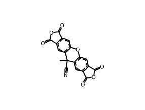 CC1(C#N)c2cc3c(cc2Oc2cc4c(cc21)C(=O)OC4=O)C(=O)OC3=O